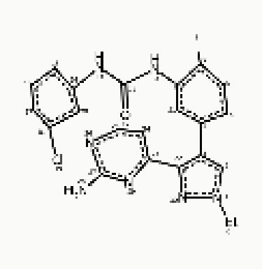 CCn1cc(-c2ccc(F)c(NC(=O)Nc3cccc(Cl)c3)c2)c(-c2ccnc(N)n2)n1